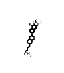 CCCCCC1CCC2CC(c3ccc4c(F)c(OC)c(F)cc4c3)CCC2C1